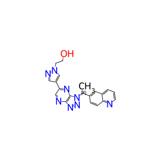 C[C@H](c1ccc2ncccc2c1)n1nnc2ncc(-c3cnn(CCO)c3)nc21